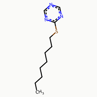 CCCCCCCCSc1ncncn1